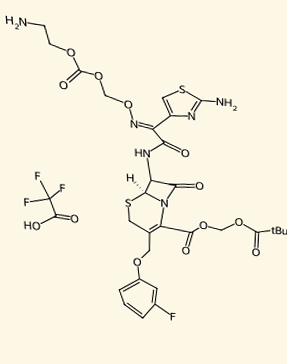 CC(C)(C)C(=O)OCOC(=O)C1=C(COc2cccc(F)c2)CS[C@H]2C(NC(=O)C(=NOCOC(=O)OCCN)c3csc(N)n3)C(=O)N12.O=C(O)C(F)(F)F